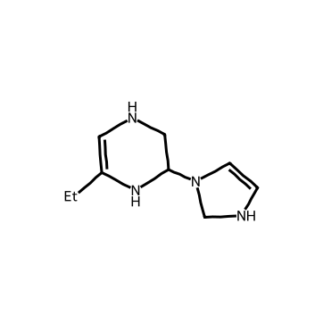 CCC1=CNCC(N2C=CNC2)N1